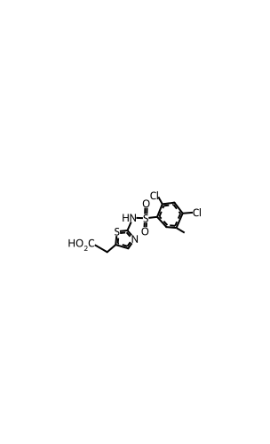 Cc1cc(S(=O)(=O)Nc2ncc(CC(=O)O)s2)c(Cl)cc1Cl